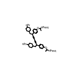 CCCCCC(C)Oc1ccc(C(C#CC#CC(CC2CCC(CCC)CC2)c2ccc(OC(C)CCCCC)cc2)CC2CCC(CCC)CC2)cc1